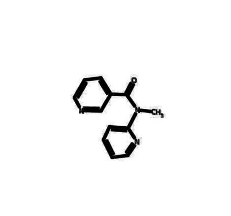 CN(C(=O)c1cccnc1)c1ccccn1